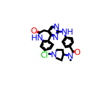 CN1CCC(N(C)C(=O)c2ccc(Nc3ncc4c(n3)-c3ccc(Cl)cc3NC(=O)C4)cc2)CC1